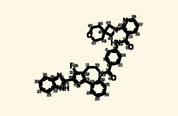 O=C(Nc1ccc(C(=O)N2CCc3c(sc(-c4nc5ccccc5[nH]4)c3F)-c3ccccc32)cc1)c1cccnc1N1CC2(CCOCC2)C1